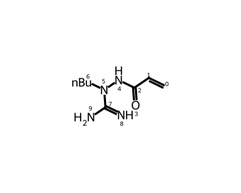 C=CC(=O)NN(CCCC)C(=N)N